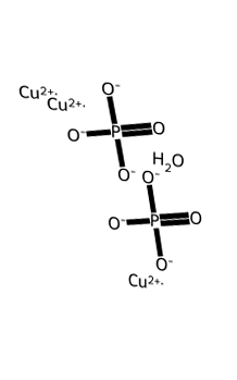 O.O=P([O-])([O-])[O-].O=P([O-])([O-])[O-].[Cu+2].[Cu+2].[Cu+2]